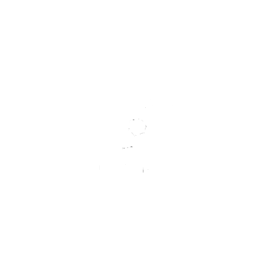 CCC(C)(C)Oc1ccc(C(=O)OC(C(C)C)C(F)(F)C(=O)O)cc1